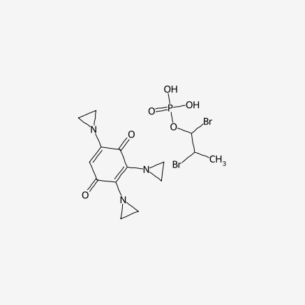 CC(Br)C(Br)OP(=O)(O)O.O=C1C=C(N2CC2)C(=O)C(N2CC2)=C1N1CC1